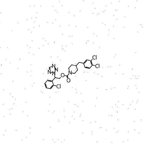 O=C(OCC(c1ccccc1Cl)n1ncnn1)N1CCC(Cc2ccc(Cl)c(Cl)c2)CC1